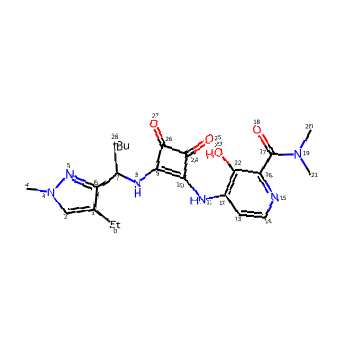 CCc1cn(C)nc1C(Nc1c(Nc2ccnc(C(=O)N(C)C)c2O)c(=O)c1=O)C(C)(C)C